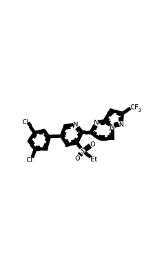 CCS(=O)(=O)c1cc(-c2cc(Cl)cc(Cl)c2)cnc1-c1ccn2nc(C(F)(F)F)cc2n1